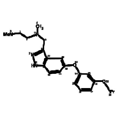 CNCCN(C)Cc1n[nH]c2ccc(Oc3cccc(OC(C)C)c3)cc12